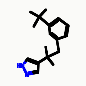 CC(C)(C)c1cccc(CC(C)(C)c2cn[nH]c2)c1